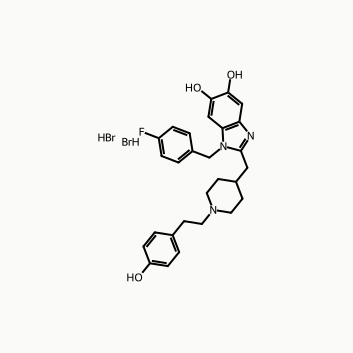 Br.Br.Oc1ccc(CCN2CCC(Cc3nc4cc(O)c(O)cc4n3Cc3ccc(F)cc3)CC2)cc1